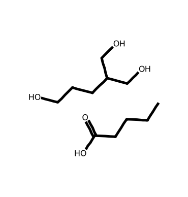 CCCCC(=O)O.OCCCC(CO)CO